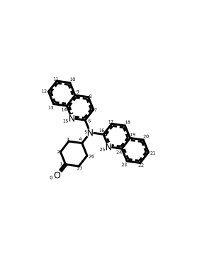 O=C1CCC(N(c2ccc3ccccc3n2)c2ccc3ccccc3n2)CC1